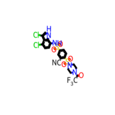 N#Cc1cc(S(=O)(=O)Nc2ccc(Cl)c3c(Cl)c[nH]c23)ccc1S(=O)(=O)N1CCN(C(=O)C(F)(F)F)CC1